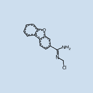 N/C(=N\CCl)c1ccc2c(c1)oc1ccccc12